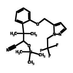 CC(C)(c1ccccc1OCc1ccnn1CC(F)(F)F)C(C#N)O[Si](C)(C)C